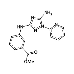 COC(=O)c1cccc(Nc2nc(N)n(-c3ccccn3)n2)c1